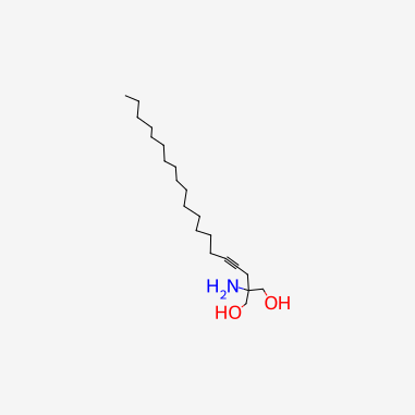 CCCCCCCCCCCCCCCC#CCC(N)(CO)CO